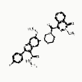 CNC(=O)c1c(-c2ccc(F)cc2)oc2cc(NC)c([C@H]3CCCN(C(=O)c4nn(C)c(=O)c5ccccc45)C3)cc12